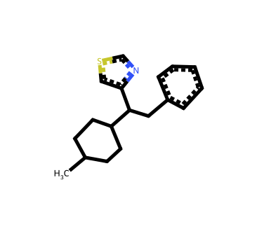 CC1CCC([C](Cc2ccccc2)c2cscn2)CC1